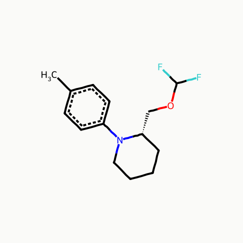 Cc1ccc(N2CCCC[C@H]2COC(F)F)cc1